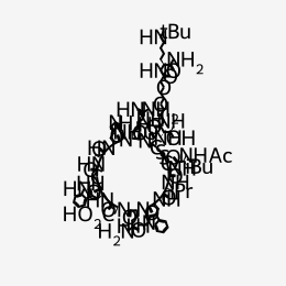 CC[C@H](C)[C@H](NC(C)=O)C(=O)N[C@H]1CSSC[C@@H](C(=O)N[C@H](C(=O)NCCOCCOCC(=O)N[C@@H](CCCCNC(C)(C)C)C(N)=O)[C@@H](C)O)NC(=O)[C@H](CCCNC(=N)N)NC(=O)[C@H](Cc2cnc[nH]2)NC(=O)[C@H](C)NC(=O)CNC(=O)[C@H](Cc2c[nH]c3ccccc23)NC(=O)[C@H](CC(=O)O)NC(=O)C(CCC(N)=O)NC(=O)[C@H](Cc2cn(C)c3ccccc23)NC(=O)[C@H](C(C)C)NC1=O